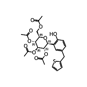 CC(=O)OC[C@H]1O[C@@H](c2cc(Cc3cccs3)ccc2O)[C@H](OC(C)=O)[C@@H](OC(C)=O)[C@@H]1OC(C)=O